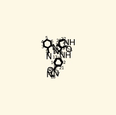 N#CC1CCCCC1n1nc(Nc2ccc(-c3ncno3)cc2)c2c(=O)[nH]ccc21